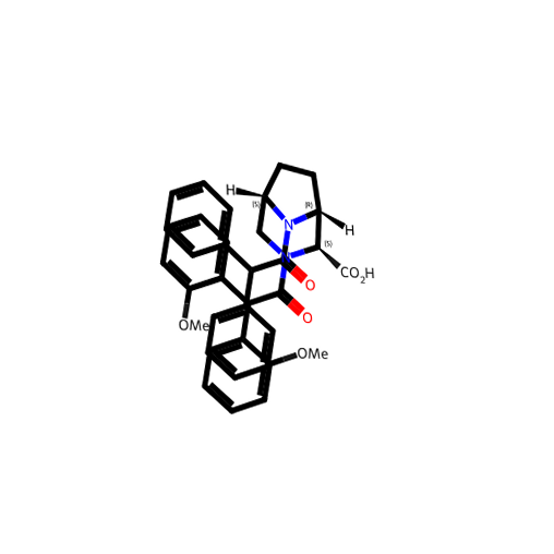 COc1ccccc1C(C(=O)N1C[C@@H]2CC[C@H]([C@H]1C(=O)O)N2C(=O)C(c1ccccc1)c1ccccc1)c1ccccc1OC